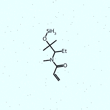 C=CC(=O)N(C)C(CC)C(C)(C)O[SiH3]